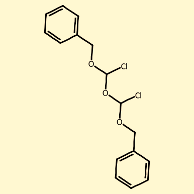 ClC(OCc1ccccc1)OC(Cl)OCc1ccccc1